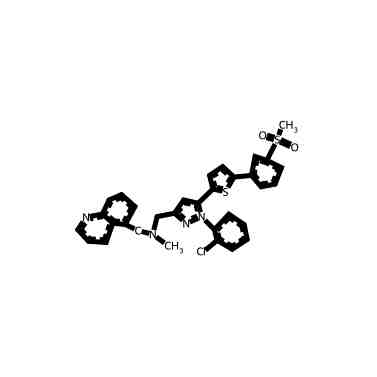 CN(Cc1cc(-c2ccc(-c3cccc(S(C)(=O)=O)c3)s2)n(-c2ccccc2Cl)n1)Cc1cccc2ncccc12